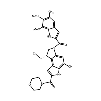 COc1c(C)cc2cc(C(=O)N3C[C@@H](CCl)c4c3cc(O)c3[nH]c(C(=O)N5CCOCC5)cc43)[nH]c2c1OC